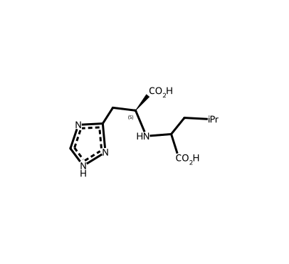 CC(C)CC(N[C@@H](Cc1nc[nH]n1)C(=O)O)C(=O)O